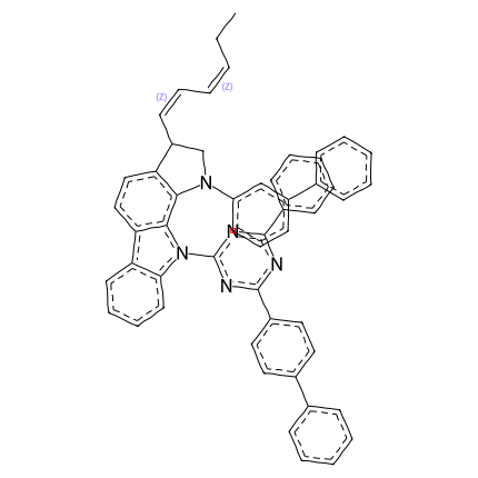 CC/C=C\C=C/C1CN(c2cccc(-c3ccccc3)c2)c2c1ccc1c3ccccc3n(-c3nc(-c4ccccc4)nc(-c4ccc(-c5ccccc5)cc4)n3)c21